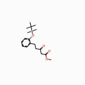 COC(=O)CC(=O)CCc1ccccc1O[Si](C)(C)C(C)(C)C